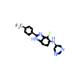 Fc1c(Nc2cncnc2)ccc2[nH]c(-c3ccc(C(F)(F)F)cc3)nc12